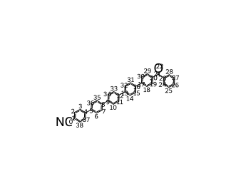 N#Cc1ccc(-c2ccc(-c3ccc(-c4ccc(-c5ccc(C(=O)c6ccccc6)cc5)cc4)cc3)cc2)cc1